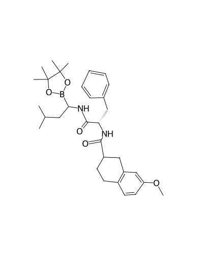 COc1ccc2c(c1)CC(C(=O)N[C@@H](Cc1ccccc1)C(=O)NC(CC(C)C)B1OC(C)(C)C(C)(C)O1)CC2